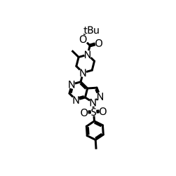 Cc1ccc(S(=O)(=O)n2ncc3c(N4CCN(C(=O)OC(C)(C)C)C(C)C4)ncnc32)cc1